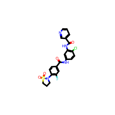 O=C(Nc1ccc(Cl)c(NC(=O)c2cccnc2)c1)c1ccc(N2CCCS2(=O)=O)c(F)c1